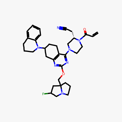 C=CC(=O)N1CCN(c2nc(OCC34CCCN3CC(F)C4)nc3c2CCC(N2CCCc4ccccc42)C3)C[C@@H]1CC#N